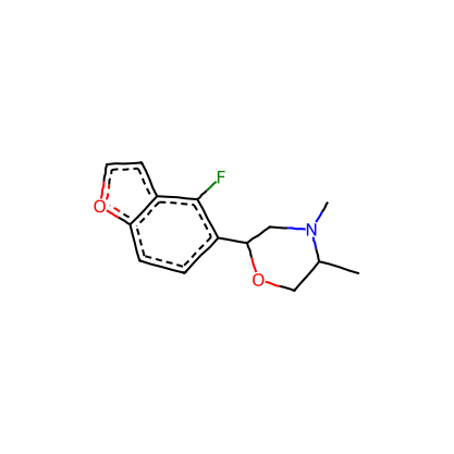 CC1COC(c2ccc3occc3c2F)CN1C